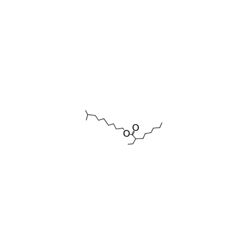 CCCCCCC(CC)C(=O)OCCCCCCCC(C)C